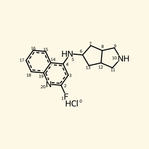 Cl.Fc1cc(NC2CC3CNCC3C2)c2ccccc2n1